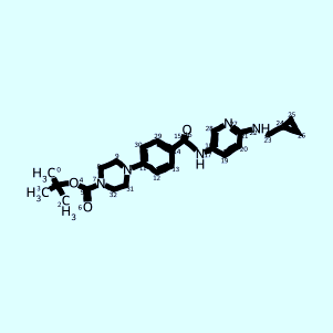 CC(C)(C)OC(=O)N1CCN(c2ccc(C(=O)Nc3ccc(NCC4CC4)nc3)cc2)CC1